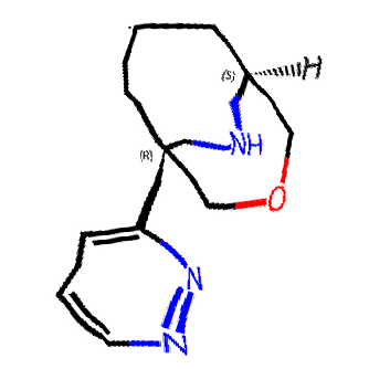 [CH]1C[C@H]2COC[C@](c3cccnn3)(C1)N2